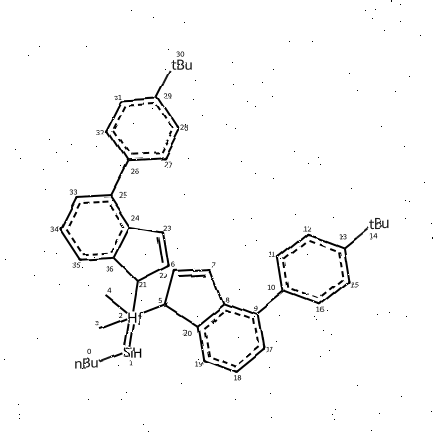 CCCC[SiH]=[Hf]([CH3])([CH3])([CH]1C=Cc2c(-c3ccc(C(C)(C)C)cc3)cccc21)[CH]1C=Cc2c(-c3ccc(C(C)(C)C)cc3)cccc21